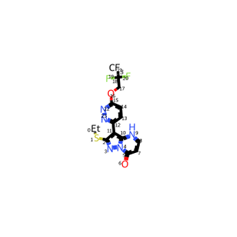 CCSc1nn2c(=O)cc[nH]c2c1-c1ccc(OCC(F)(F)C(F)(F)F)nn1